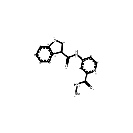 CC(C)(C)NC(=O)c1cc(NC(=O)C2COc3ccccc32)ccn1